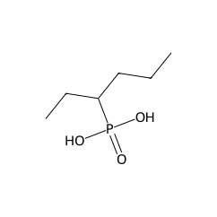 CCCC(CC)P(=O)(O)O